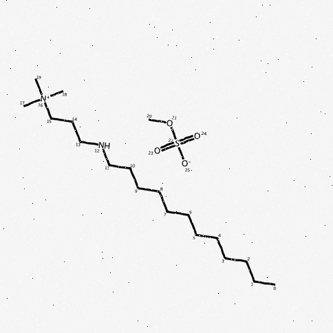 CCCCCCCCCCCCNCCC[N+](C)(C)C.COS(=O)(=O)[O-]